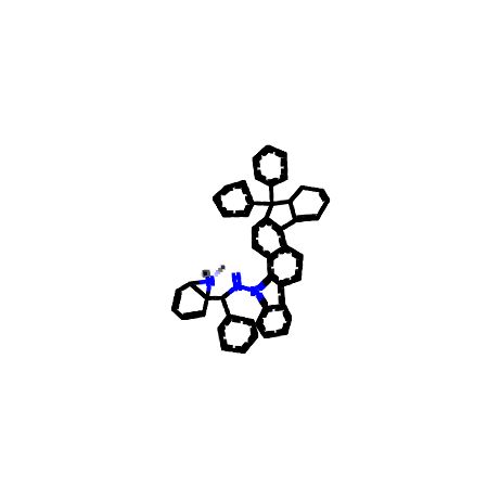 C[N@@]1C2C=CC=CC21C(Nn1c2ccccc2c2ccc3c4c(ccc3c21)C(c1ccccc1)(c1ccccc1)C1CC=CC=C41)c1ccccc1